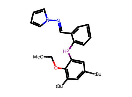 COCOc1c(Pc2ccccc2/C=N/n2cccc2)cc(C(C)(C)C)cc1C(C)(C)C